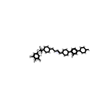 CC1CCC(c2ccc(C3CCC(/C=C/CCC4CCC(C(F)(F)Oc5cc(F)c(F)c(F)c5)CC4)CC3)c(F)c2)CC1